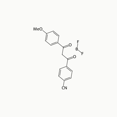 COc1ccc(C(=O)CC(=O)c2ccc(C#N)cc2)cc1.F[B]F